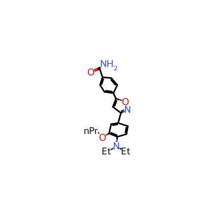 CCCOc1cc(-c2cc(-c3ccc(C(N)=O)cc3)on2)ccc1N(CC)CC